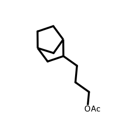 CC(=O)OCCCC1CC2CCC1C2